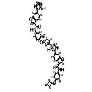 O=C(Nc1ccc(OC2CCC([n+]3nnc(-c4ccc5c(C(=O)Nc6ccc(OC7CCC7)c(F)c6)coc5c4)[nH]3)C2)c(F)c1)c1coc2cc(-c3nnn[nH]3)ccc12